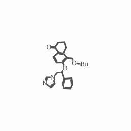 CCC(C)OCc1c(O[C@H](Cn2ccnc2)c2ccccc2)ccc2c1CCCC2=O